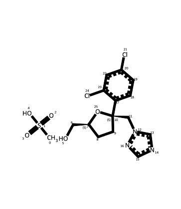 CS(=O)(=O)O.OC[C@@H]1CC[C@@](Cn2cncn2)(c2ccc(Cl)cc2Cl)O1